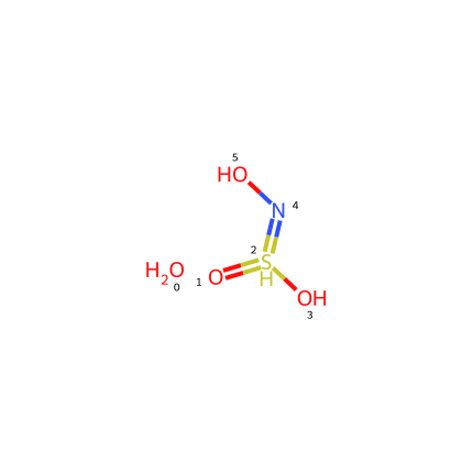 O.O=[SH](O)=NO